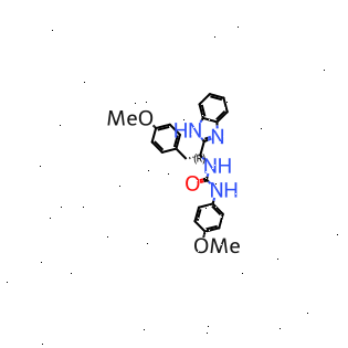 COc1ccc(C[C@@H](NC(=O)Nc2ccc(OC)cc2)c2nc3ccccc3[nH]2)cc1